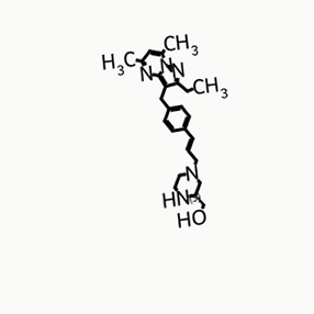 CCc1nn2c(C)cc(C)nc2c1Cc1ccc(C=CCN2CCN[C@H](CO)C2)cc1